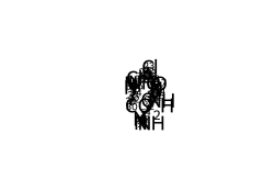 O=C(CCCCc1c[nH]nn1)NC1CCN(C(=O)OCc2cc(Cl)cc(Cl)c2)CC1.O=C(O)CCCCc1c[nH]nn1